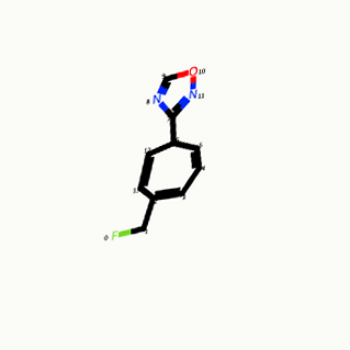 FCC1=CC=CC(c2ncon2)C=C1